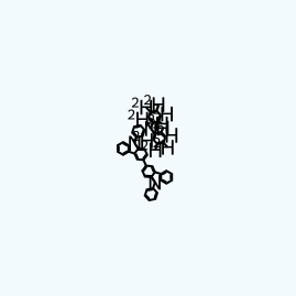 [2H]c1c([2H])c([2H])c(N(c2cccc(-n3c4ccccc4c4cc(-c5ccc6c(c5)c5ccccc5n6-c5ccccc5)ccc43)c2)c2c([2H])c([2H])c([2H])c([2H])c2[2H])c([2H])c1[2H]